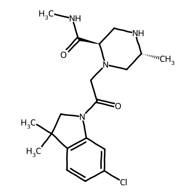 CNC(=O)[C@H]1CN[C@H](C)CN1CC(=O)N1CC(C)(C)c2ccc(Cl)cc21